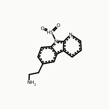 NCCc1ccc2c(c1)c1cccnc1n2[SH](=O)=O